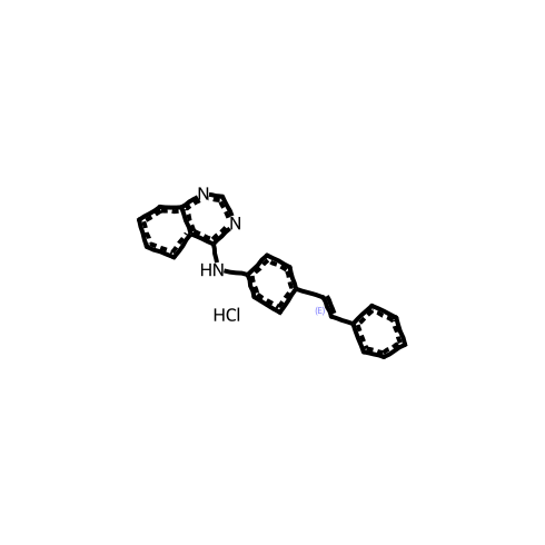 C(=C\c1ccc(Nc2ncnc3ccccc23)cc1)/c1ccccc1.Cl